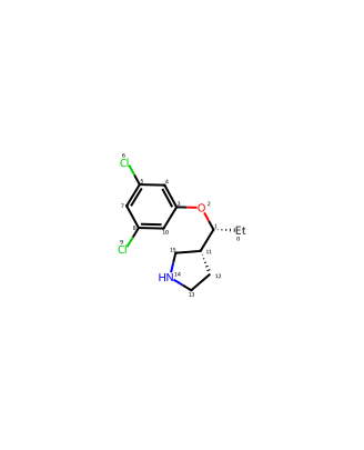 CC[C@@H](Oc1cc(Cl)cc(Cl)c1)[C@@H]1CCNC1